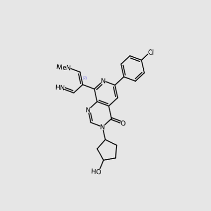 CN/C=C(\C=N)c1nc(-c2ccc(Cl)cc2)cc2c(=O)n(C3CCC(O)C3)cnc12